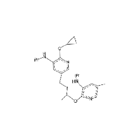 Cc1cnc(OC(C)CCc2cnc(OC3CC3)c(NC(C)C)c2)c(NC(C)C)c1